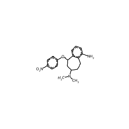 CN(C)C1CCc2c(N)cccc2C(Oc2ccc([N+](=O)[O-])cc2)C1